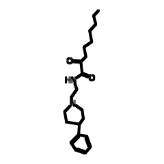 CCCCCCCC(=O)C(=O)NCCN1CCC(c2ccccc2)CC1